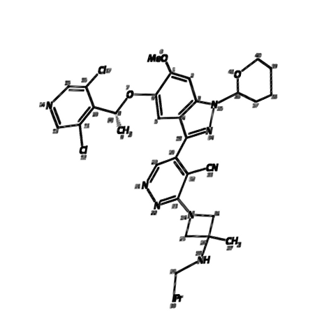 COc1cc2c(cc1O[C@H](C)c1c(Cl)cncc1Cl)c(-c1cnnc(N3CC(C)(NCC(C)C)C3)c1C#N)nn2C1CCCCO1